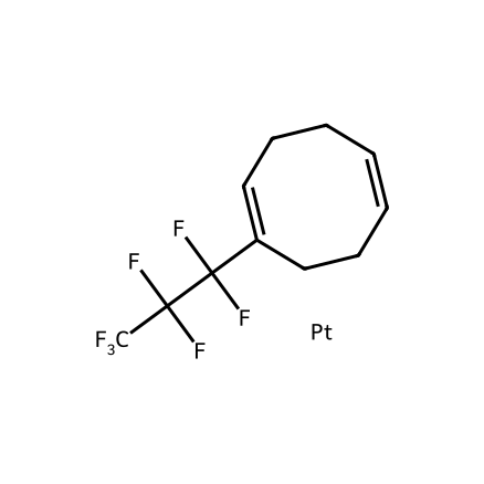 FC(F)(F)C(F)(F)C(F)(F)C1=CCCC=CCC1.[Pt]